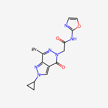 CC(C)c1nn(CC(=O)Nc2ncco2)c(=O)c2cn(C3CC3)nc12